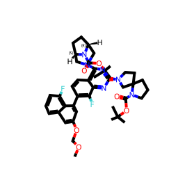 COCOc1cc(-c2ccc3c(N4C[C@H]5CC[C@@H](C4)N5C(=O)OC(C)(C)C)nc(N4CCC5(CCCN5C(=O)OC(C)(C)C)C4)nc3c2F)c2c(F)cccc2c1